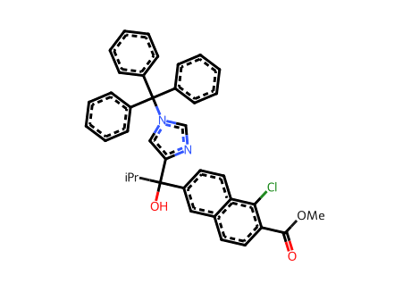 COC(=O)c1ccc2cc(C(O)(c3cn(C(c4ccccc4)(c4ccccc4)c4ccccc4)cn3)C(C)C)ccc2c1Cl